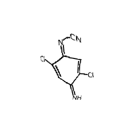 N#C/N=C1\C=C(Cl)C(=N)C=C1Cl